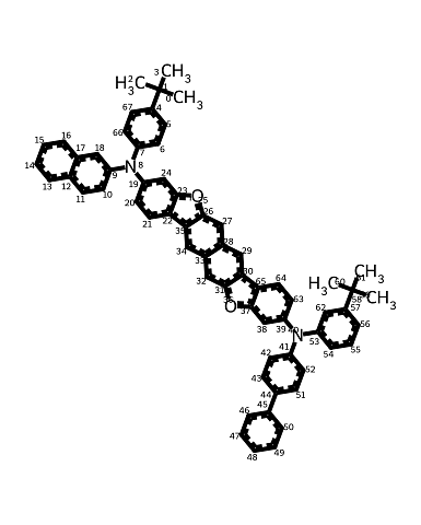 CC(C)(C)c1ccc(N(c2ccc3ccccc3c2)c2ccc3c(c2)oc2cc4cc5c(cc4cc23)oc2cc(N(c3ccc(-c4ccccc4)cc3)c3cccc(C(C)(C)C)c3)ccc25)cc1